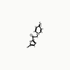 Cc1ccc(C(=O)Cn2ccc(=S)cc2)s1